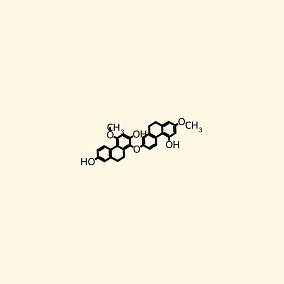 COc1cc(O)c2c(c1)CCc1cc(Oc3c(O)cc(OC)c4c3CCc3cc(O)ccc3-4)ccc1-2